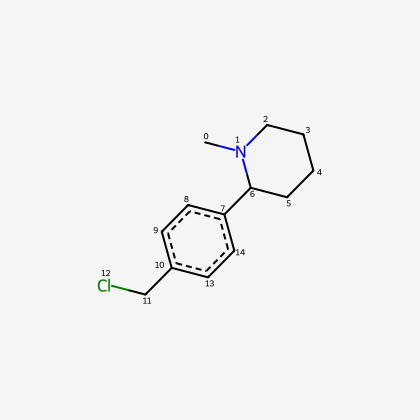 CN1CCCCC1c1ccc(CCl)cc1